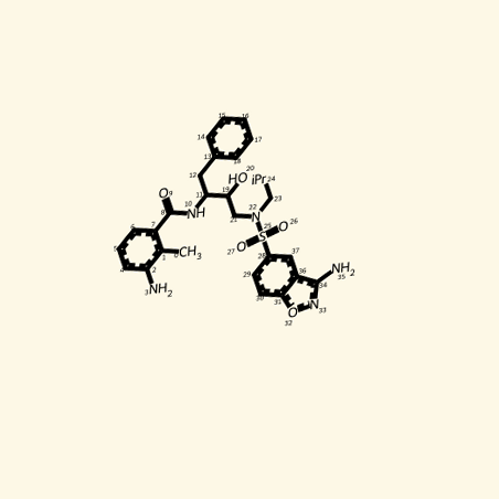 Cc1c(N)cccc1C(=O)NC(Cc1ccccc1)C(O)CN(CC(C)C)S(=O)(=O)c1ccc2onc(N)c2c1